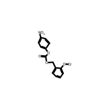 CCOc1ccccc1COC(=O)Oc1ccc([N+](=O)[O-])cc1